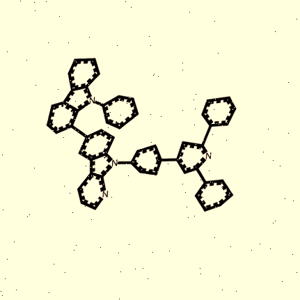 c1ccc(-c2cc(-c3ccc(-n4c5ccc(-c6cccc7c8ccccc8n(-c8ccccc8)c67)cc5c5cccnc54)cc3)cc(-c3ccccc3)n2)cc1